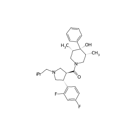 CC(C)CN1C[C@@H](C(=O)N2C[C@@H](C)[C@](O)(c3ccccc3)[C@@H](C)C2)[C@H](c2ccc(F)cc2F)C1